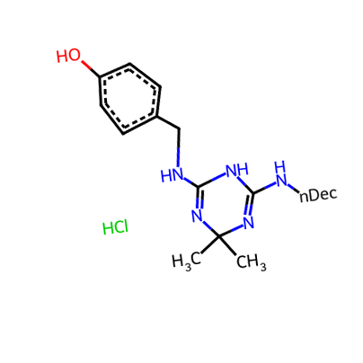 CCCCCCCCCCNC1=NC(C)(C)N=C(NCc2ccc(O)cc2)N1.Cl